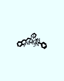 N[C@@H](CC(=O)N1CCC[C@@H]1c1nc(-c2ccccc2)no1)Cc1ccccc1F